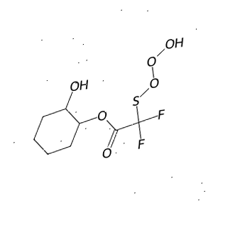 O=C(OC1CCCCC1O)C(F)(F)SOOO